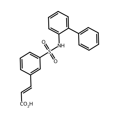 O=C(O)C=Cc1cccc(S(=O)(=O)Nc2ccccc2-c2ccccc2)c1